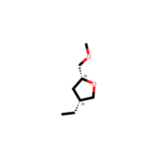 CC[C@H]1CO[C@@H](COC)C1